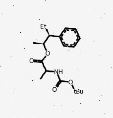 CC[C@@H](c1ccccc1)[C@H](C)OC(=O)C(C)NC(=O)OC(C)(C)C